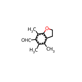 Cc1c(C)c2c(c(C)c1C=O)OCC2